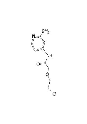 Bc1cc(NC(=O)COCCCl)ccn1